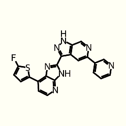 Fc1ccc(-c2ccnc3[nH]c(-c4n[nH]c5cnc(-c6cccnc6)cc45)nc23)s1